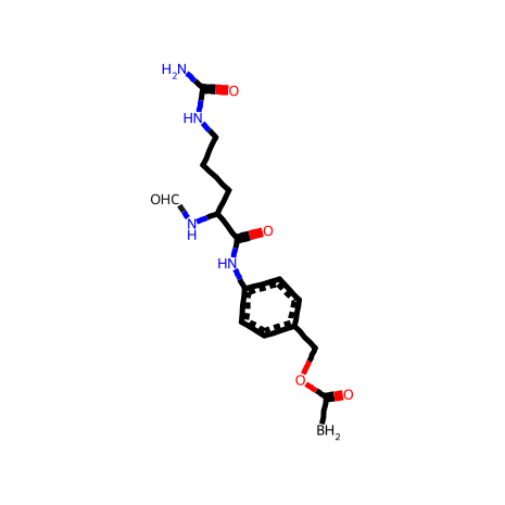 BC(=O)OCc1ccc(NC(=O)C(CCCNC(N)=O)NC=O)cc1